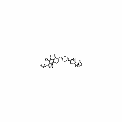 Cc1cnn2c1c(=O)[nH]c1c(F)c(CN3CCN(c4ccc(-c5ncc[nH]5)nc4)CC3)ccc12